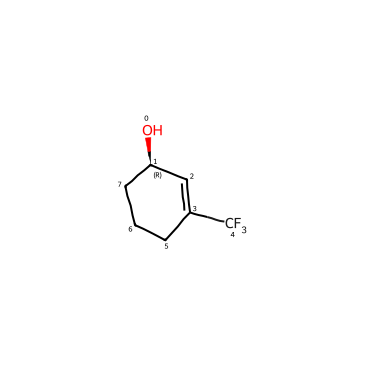 O[C@H]1C=C(C(F)(F)F)CCC1